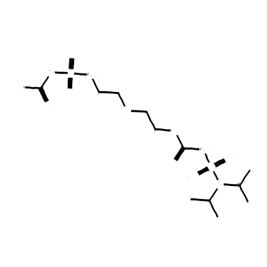 CC(C)N(C(C)C)S(=O)(=O)NC(=O)OCCOCCNS(=O)(=O)NC(=O)O